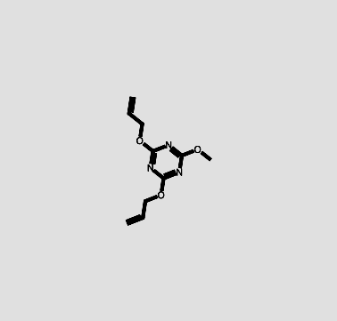 C=CCOc1nc(OC)nc(OCC=C)n1